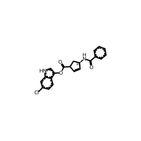 O=C(N[C@H]1C=CC(C(=O)Oc2c[nH]c3cc(Cl)ccc23)C1)c1ccccc1